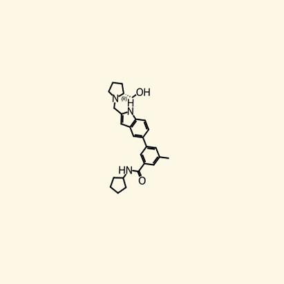 Cc1cc(C(=O)NC2CCCC2)cc(-c2ccc3[nH]c(CN4CCC[C@@H]4CO)cc3c2)c1